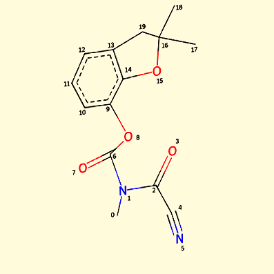 CN(C(=O)C#N)C(=O)Oc1cccc2c1OC(C)(C)C2